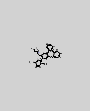 C=C/C=N/c1cc2c(cc1-c1cc(C)cc[n+]1CC)Oc1ccccc1-c1ccccc1-2